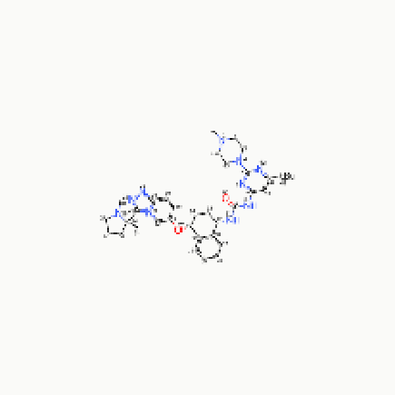 CN1CCN(c2nc(NC(=O)N[C@H]3CC[C@@H](Oc4ccc5nnc([C@]6(C)CCCN6C)n5c4)c4ccccc43)cc(C(C)(C)C)n2)CC1